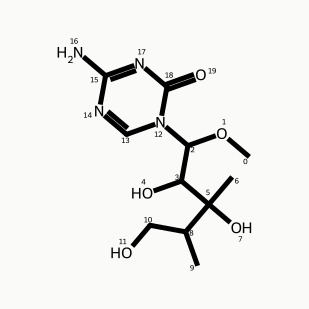 COC(C(O)C(C)(O)C(C)CO)n1cnc(N)nc1=O